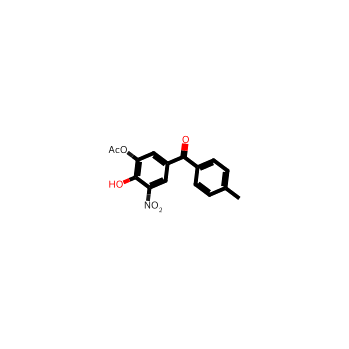 CC(=O)Oc1cc(C(=O)c2ccc(C)cc2)cc([N+](=O)[O-])c1O